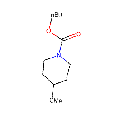 CCCCOC(=O)N1CCC(OC)CC1